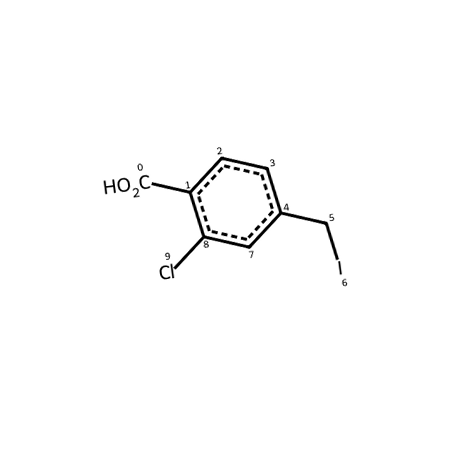 O=C(O)c1ccc(CI)cc1Cl